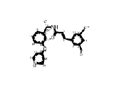 C[C@H](NC(=O)C=Cc1cc(F)cc(F)c1)c1cccc(Oc2ccncc2)c1